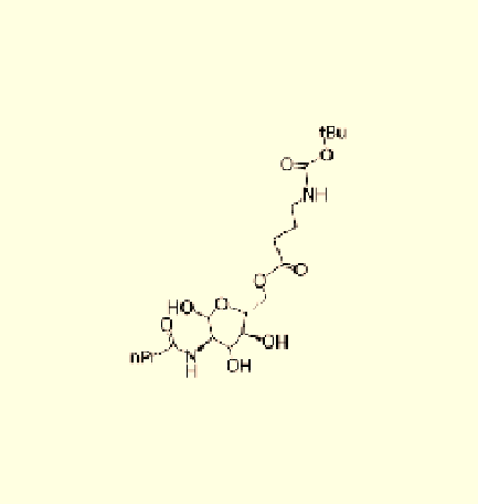 CCCC(=O)N[C@H]1C(O)O[C@H](COC(=O)CCCNC(=O)OC(C)(C)C)[C@@H](O)C1O